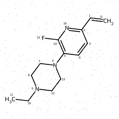 C=Cc1ccc(N2CCN(CC)CC2)c(F)n1